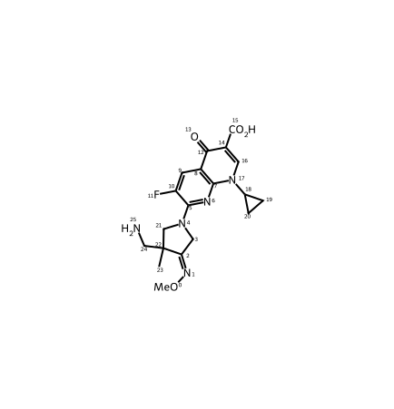 CON=C1CN(c2nc3c(cc2F)c(=O)c(C(=O)O)cn3C2CC2)CC1(C)CN